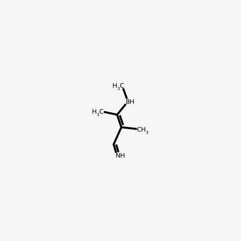 CB/C(C)=C(\C)C=N